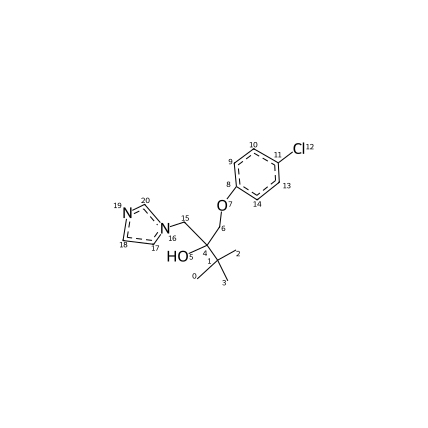 CC(C)(C)C(O)(COc1ccc(Cl)cc1)Cn1ccnc1